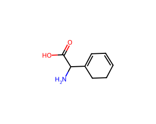 NC(C(=O)O)C1=CC=CCC1